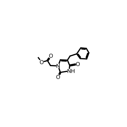 COC(=O)Cn1cc(Cc2ccccc2)c(=O)[nH]c1=O